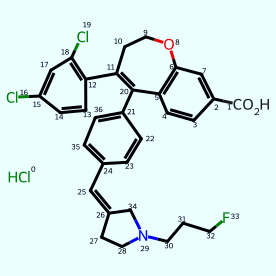 Cl.O=C(O)c1ccc2c(c1)OCCC(c1ccc(Cl)cc1Cl)=C2c1ccc(C=C2CCN(CCCF)C2)cc1